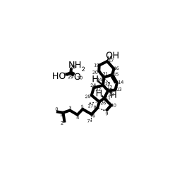 CC(C)CCC[C@@H](C)[C@H]1CC[C@H]2[C@@H]3CC=C4C[C@@H](O)CC[C@]4(C)[C@H]3CC[C@]12C.NC(=O)O